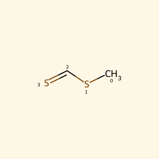 CSC=S